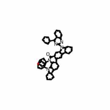 O=c1c2cc3c(cc2c2ccc4c5ccccc5n(-c5ccccc5)c4c2n1-c1ccccc1)c1ccccc1n3-c1nc(-c2ccccc2)c2ccccc2n1